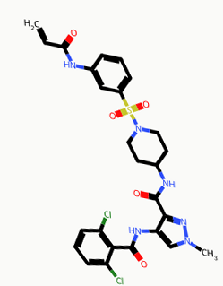 C=CC(=O)Nc1cccc(S(=O)(=O)N2CCC(NC(=O)c3nn(C)cc3NC(=O)c3c(Cl)cccc3Cl)CC2)c1